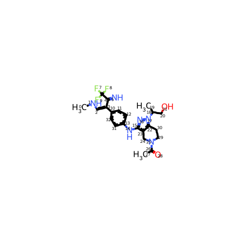 CN/C=C(\C(=N)C(F)(F)F)c1ccc(Nc2nn(C(C)CO)c3c2CN(C(C)=O)CC3)cc1